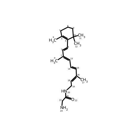 CC(C=CC1=C(C)CCCC1(C)C)=CC=CC(C)=CCNC(=O)CN